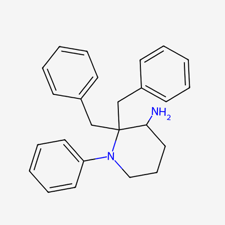 NC1CCCN(c2ccccc2)C1(Cc1ccccc1)Cc1ccccc1